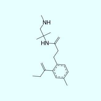 C=C(CCc1ccc(C)cc1C(=C)CC)NC(C)(C)CNC